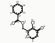 O=C(OCc1occc(=O)c1Cl)c1ccccc1